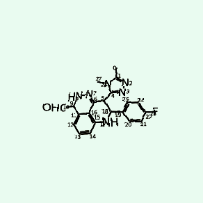 Cc1nnc(C2C3=NNC(C=O)c4cccc(c43)NC2c2ccc(F)cc2)n1C